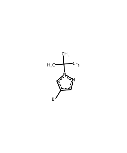 CC(C)(n1cc(Br)cn1)C(F)(F)F